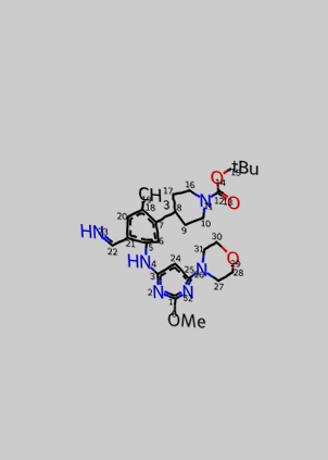 COc1nc(Nc2cc(C3CCN(C(=O)OC(C)(C)C)CC3)c(C)cc2C=N)cc(N2CCOCC2)n1